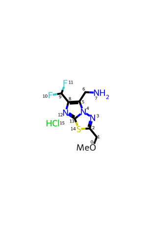 COCc1nn2c(CN)c(C(F)F)nc2s1.Cl